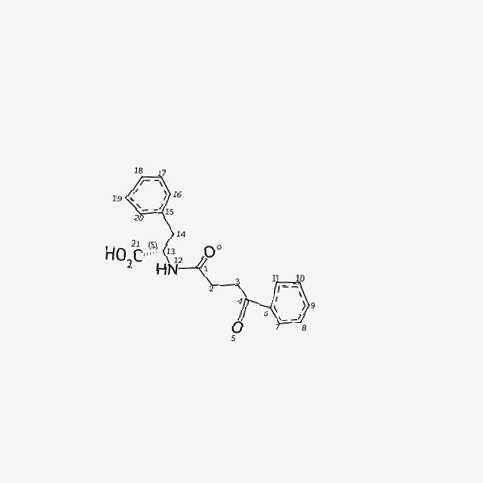 O=C(CCC(=O)c1ccccc1)N[C@@H](Cc1ccccc1)C(=O)O